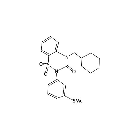 CSc1cccc(N2C(=O)N(CC3CCCCC3)c3ccccc3S2(=O)=O)c1